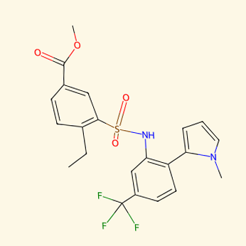 CCc1ccc(C(=O)OC)cc1S(=O)(=O)Nc1cc(C(F)(F)F)ccc1-c1cccn1C